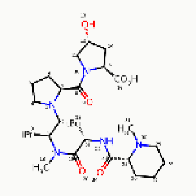 CC(C)[C@@H](CN1CCC[C@H]1C(=O)N1C[C@H](O)C[C@H]1C(=O)O)N(C)C(=O)[C@@H](NC(=O)[C@H]1CCCCN1C)C(C)(C)C